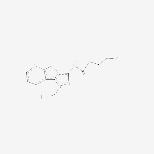 CCCCCC(=O)Nc1nn(CC)c2c1sc1ncccc12